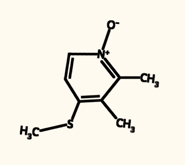 CSc1cc[n+]([O-])c(C)c1C